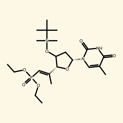 CCOP(=O)(/C=C(\C)[C@H]1O[C@@H](n2cc(C)c(=O)[nH]c2=O)CC1O[Si](C)(C)C(C)(C)C)OCC